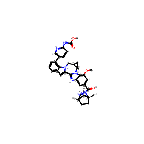 COC(=O)Nc1ccc(-c2cccc3cc(-c4nc5cc(C(=O)N6C[C@H]7CC[C@@H]6[C@@H]7N)cc(OC)c5n4C)n(CC4CC4)c23)cn1